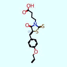 C=CCOc1ccc(/C=C2\SC(=S)N(CCCC(=O)O)C2=O)cc1